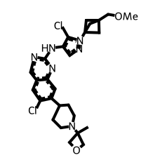 COCC12CC(n3ncc(Nc4ncc5cc(Cl)c(C6CCN(C7(C)COC7)CC6)cc5n4)c3Cl)(C1)C2